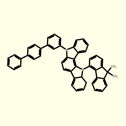 CC1(C)c2ccccc2-c2c(N3c4c(ccc5c4c4ccccc4n5-c4cccc(-c5ccc(-c6ccccc6)cc5)c4)C4=CC=CCC43)cccc21